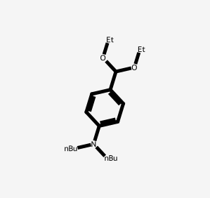 CCCCN(CCCC)c1ccc(C(OCC)OCC)cc1